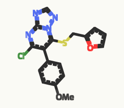 COc1ccc(-c2c(Cl)nc3ncnn3c2SCc2ccco2)cc1